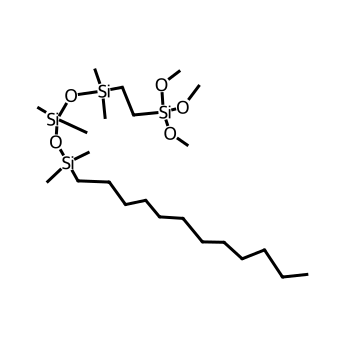 CCCCCCCCCCCC[Si](C)(C)O[Si](C)(C)O[Si](C)(C)CC[Si](OC)(OC)OC